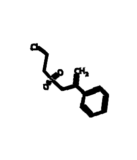 C=C(CS(=O)(=O)CCCl)c1ccccc1